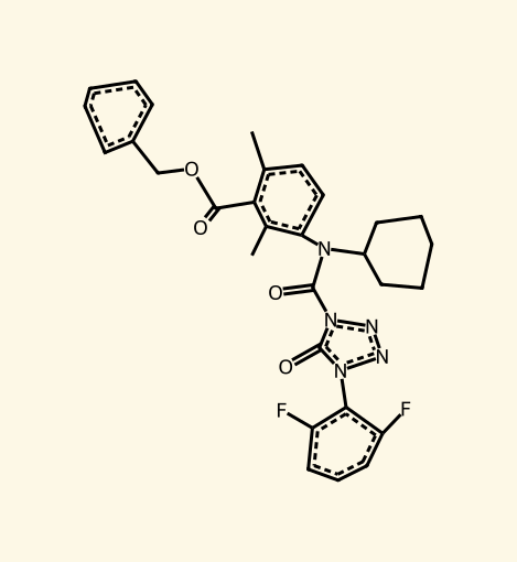 Cc1ccc(N(C(=O)n2nnn(-c3c(F)cccc3F)c2=O)C2CCCCC2)c(C)c1C(=O)OCc1ccccc1